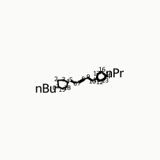 CCCC[C@H]1CC[C@H](C=CC#CC=Cc2ccc(CCC)cc2)CC1